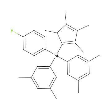 CC1=C(C)C(C)C([Si](c2ccc(F)cc2)(c2cc(C)cc(C)c2)c2cc(C)cc(C)c2)=C1C